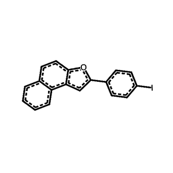 Ic1ccc(-c2cc3c(ccc4ccccc43)o2)cc1